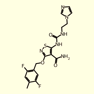 Cc1cc(F)c(COc2nsc(NC(=O)NCCn3ccnc3)c2C(N)=O)cc1F